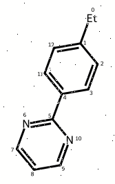 CCc1ccc(-c2ncccn2)cc1